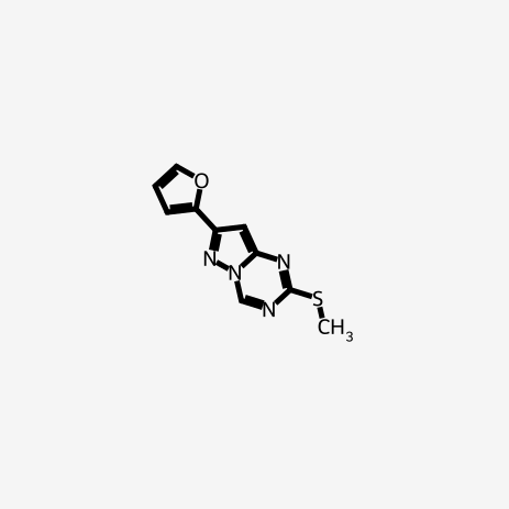 CSc1ncn2nc(-c3ccco3)cc2n1